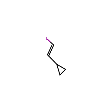 I/C=C/C1CC1